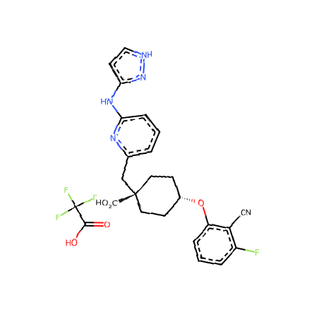 N#Cc1c(F)cccc1O[C@H]1CC[C@](Cc2cccc(Nc3cc[nH]n3)n2)(C(=O)O)CC1.O=C(O)C(F)(F)F